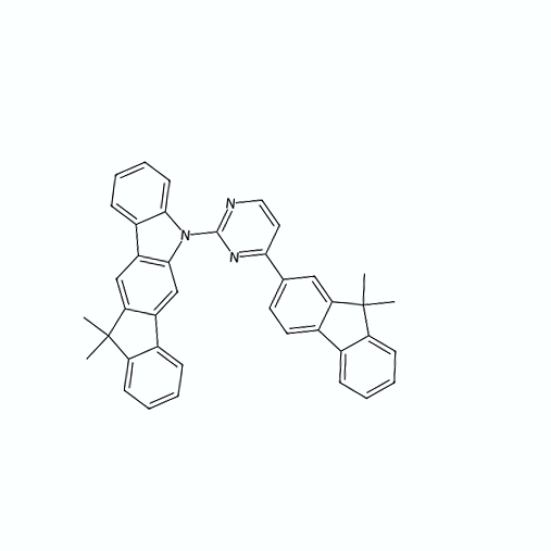 CC1(C)c2ccccc2-c2ccc(-c3ccnc(-n4c5ccccc5c5cc6c(cc54)-c4ccccc4C6(C)C)n3)cc21